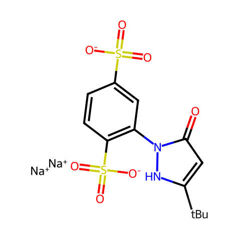 CC(C)(C)c1cc(=O)n(-c2cc(S(=O)(=O)[O-])ccc2S(=O)(=O)[O-])[nH]1.[Na+].[Na+]